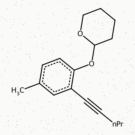 CCCC#Cc1cc(C)ccc1OC1CCCCO1